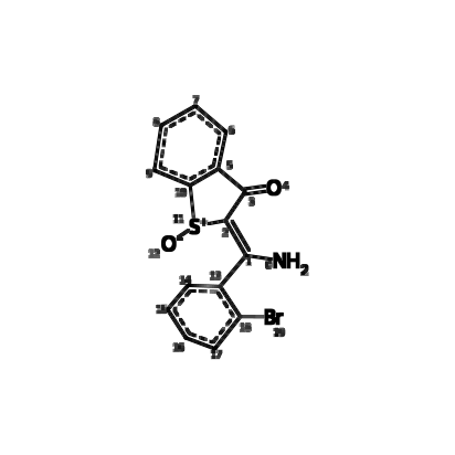 NC(=C1C(=O)c2ccccc2[S+]1[O-])c1ccccc1Br